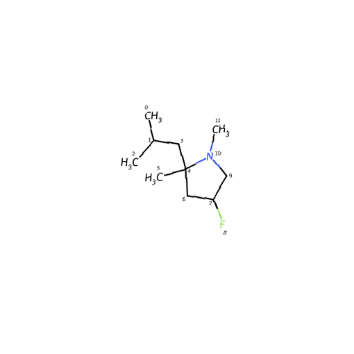 CC(C)CC1(C)CC(F)CN1C